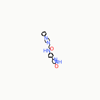 O=C1CCC(c2ccc(NC(=O)CCN3CCN(c4ccccc4)CC3)cc2)=NN1